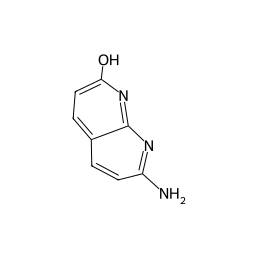 Nc1ccc2ccc(O)nc2n1